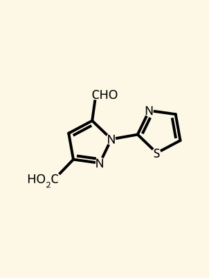 O=Cc1cc(C(=O)O)nn1-c1nccs1